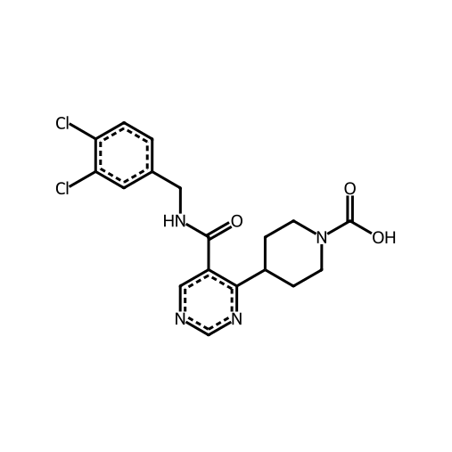 O=C(NCc1ccc(Cl)c(Cl)c1)c1cncnc1C1CCN(C(=O)O)CC1